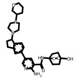 Nc1ncc(-c2ccc3c(c2)CCC3N2CCN(C3CCCOC3)CC2)cc1C(=O)NC12CCC(O)(CC1)CC2